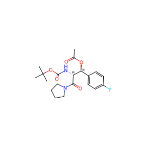 CC(=O)O[C@@H](c1ccc(F)cc1)[C@@H](NC(=O)OC(C)(C)C)C(=O)N1CCCC1